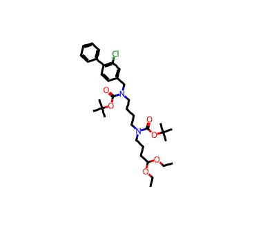 CCOC(CCCN(CCCCN(Cc1ccc(-c2ccccc2)c(Cl)c1)C(=O)OC(C)(C)C)C(=O)OC(C)(C)C)OCC